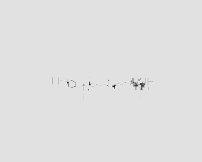 O=C(CCCC[C@@H]1SCC2NC(=O)N[C@@H]21)NCCCCCC(=O)NCCc1ccc(O)cc1